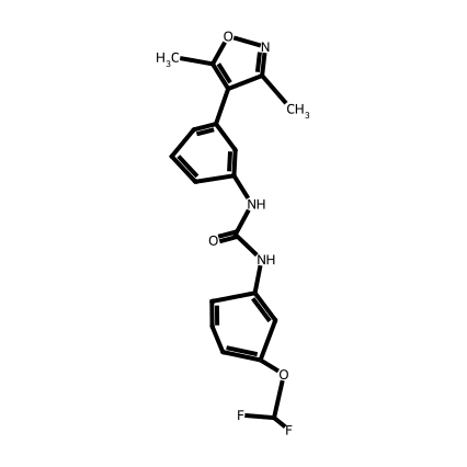 Cc1noc(C)c1-c1cccc(NC(=O)Nc2cccc(OC(F)F)c2)c1